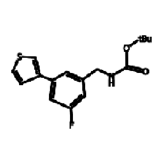 CC(C)(C)OC(=O)NCc1cc(F)cc(-c2ccsc2)c1